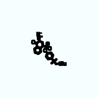 CC(C)(C)CC(C)(C)c1ccc(OS(=O)(=O)C2=CC(=[N+]=[N-])C(=O)c3ccccc32)cc1